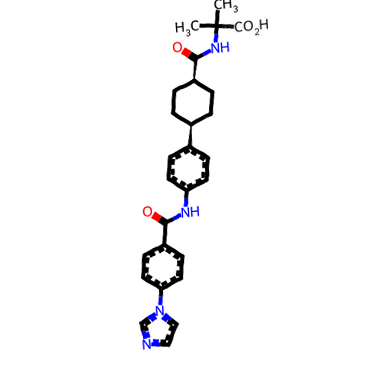 CC(C)(NC(=O)[C@H]1CC[C@@H](c2ccc(NC(=O)c3ccc(-n4ccnc4)cc3)cc2)CC1)C(=O)O